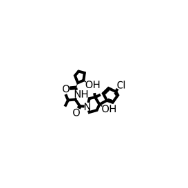 CC(C)[C@@H](NC(=O)[C@@H]1CCC[C@@H]1O)C(=O)N1CC[C@](O)(c2ccc(Cl)cc2)C(C)(C)C1